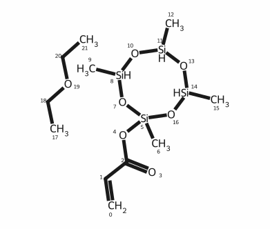 C=CC(=O)O[Si]1(C)O[SiH](C)O[SiH](C)O[SiH](C)O1.CCOCC